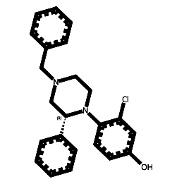 Oc1ccc(N2CCN(Cc3ccccc3)C[C@H]2c2ccccc2)c(Cl)c1